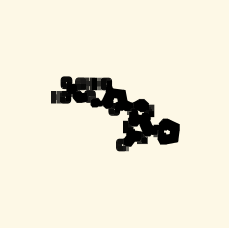 O=P(O)(O)COC[C@H]1OC(n2cnc3c(N4CCCC4)nc(Cl)nc32)C[C@@H]1O